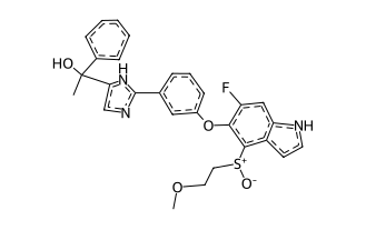 COCC[S+]([O-])c1c(Oc2cccc(-c3ncc(C(C)(O)c4ccccc4)[nH]3)c2)c(F)cc2[nH]ccc12